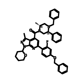 Cc1nn(C2CCCCO2)c2nc(-c3ccc(OCc4ccccc4)cc3F)cc(C(=O)N3C[C@H](c4ccccc4)N(Cc4ccccc4)C[C@H]3C)c12